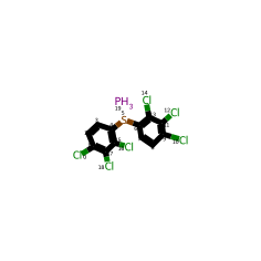 Clc1ccc(Sc2ccc(Cl)c(Cl)c2Cl)c(Cl)c1Cl.P